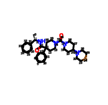 C[C@H](NC(=O)C1(c2ccccc2)CCN(C(=O)N2CCC(N3CCSCC3)CC2)CC1)c1ccccc1